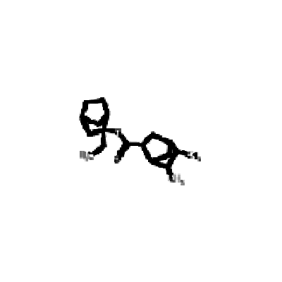 CCC1(OC(=O)C2CC3CC2C(C)C3C)CC2CCC1C2